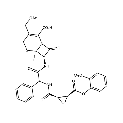 COc1ccccc1OC(=O)[C@H]1O[C@H]1C(=O)NC(C(=O)N[C@@H]1C(=O)N2C(C(=O)O)=C(COC(C)=O)CS[C@H]12)c1ccccc1